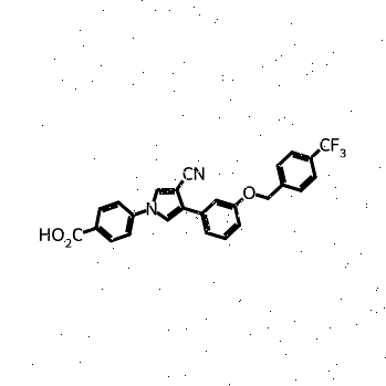 N#Cc1cn(-c2ccc(C(=O)O)cc2)cc1-c1cccc(OCc2ccc(C(F)(F)F)cc2)c1